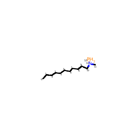 CCCCCCCCCCCN(C)P